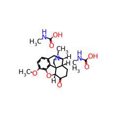 CNC(=O)O.CNC(=O)O.COc1ccc2c3c1O[C@H]1C(=O)CC[C@H]4[C@@H](C2)N(C)CC[C@]314